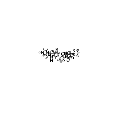 CN1CCn2nc(Nc3cc(-c4ccnc(-n5ncc6c7c(sc6c5=O)CCCC7)c4C=O)cn(C)c3=O)cc2C1